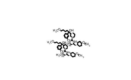 CNC[C@H](C[C@H]1CC[C@@H](OC)CC1)NC(=O)N1CCCC([C@@](O)(CCCCOC)c2cccc(Cl)c2)C1.CNC[C@H](C[C@H]1CC[C@@H](OC)CC1)NC(=O)N1CCC[C@@H]([C@@](O)(CCCCOC)c2cccc(Cl)c2)C1